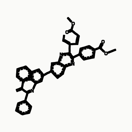 C=C(/C(=N\c1cc(-c2ccc3nc(-c4ccc(C(=O)OC)cc4)c(C(/C=C\C(=O)OC)=C/C)nc3c2)ccc1N)c1ccccc1)c1ccccc1